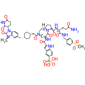 Cn1c(=O)n(C2CCC(=O)NC2=O)c2ccc(C[C@H]3CC[C@H](CC(=O)N4CC[C@H]5CC[C@@H](C(=O)N[C@@H](CCC(N)=O)C(=O)NCc6ccc(S(C)(=O)=O)cc6)N5C(=O)[C@@H](NC(=O)c5cc6cc(C(=O)P(=O)(O)O)ccc6[nH]5)C4)CC3)cc21